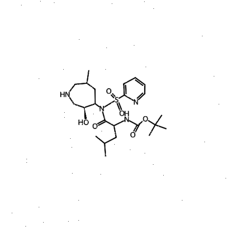 CC(C)CC(NC(=O)OC(C)(C)C)C(=O)N(C1CC(C)CNC[C@@H]1O)S(=O)(=O)c1ccccn1